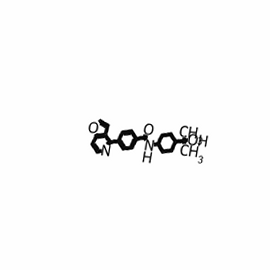 CC(C)(O)C1CCC(NC(=O)c2ccc(-c3nccc4occc34)cc2)CC1